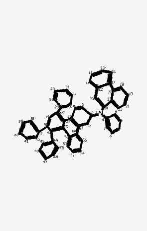 C1=CC(N(c2ccccc2)c2cc3ccccc3c3ccccc23)Cc2c1c1c(-c3ccccc3)cc(-c3ccccc3)c(-c3ccccc3)c1c1ccccc21